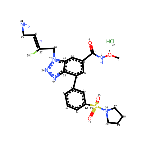 CONC(=O)c1cc(-c2cccc(S(=O)(=O)N3CCCC3)c2)c2nnn(C/C(F)=C/CN)c2c1.Cl